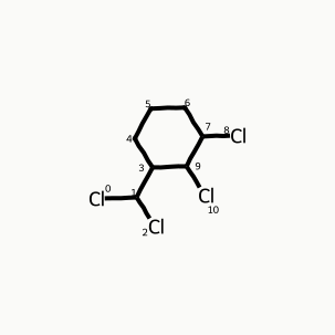 ClC(Cl)C1CCCC(Cl)C1Cl